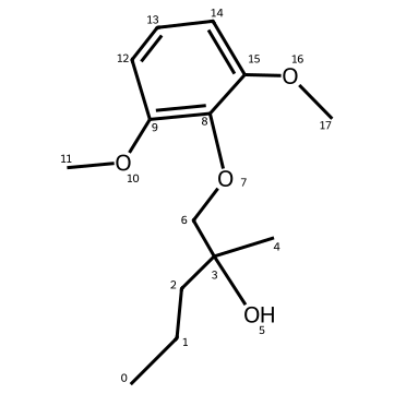 CCCC(C)(O)COc1c(OC)cccc1OC